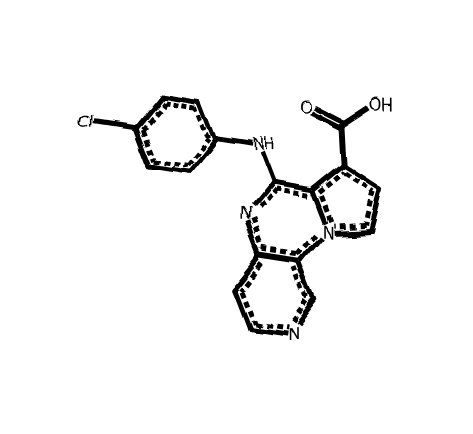 O=C(O)c1ccn2c1c(Nc1ccc(Cl)cc1)nc1ccncc12